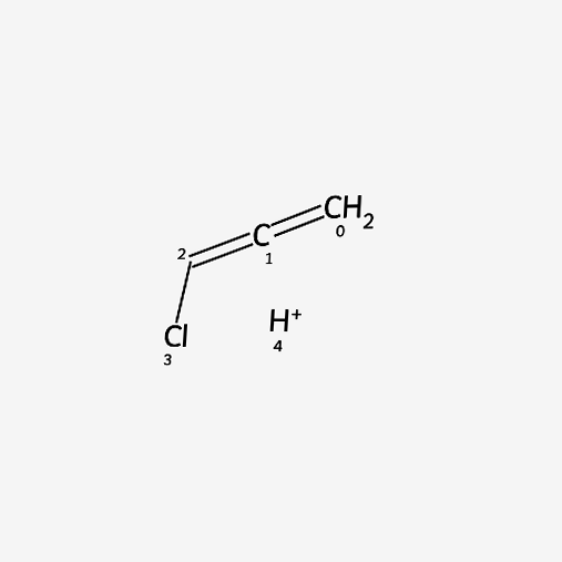 C=C=CCl.[H+]